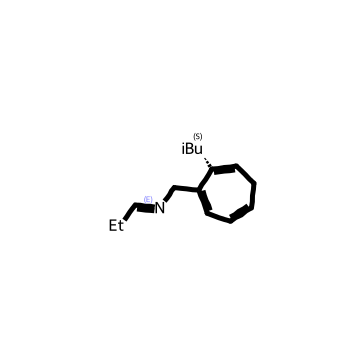 CC/C=N/CC1=CC=CCC=C1[C@@H](C)CC